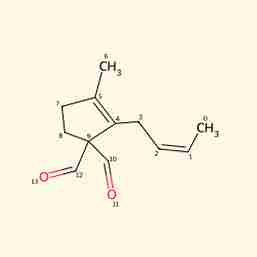 C/C=C\CC1=C(C)CCC1(C=O)C=O